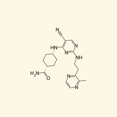 Cc1nccnc1CCNc1ncc(C#N)c(N[C@H]2CC[C@@H](C(N)=O)CC2)n1